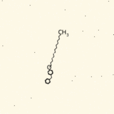 CCCCCCCCCCCCCCCCOc1ccc(Cc2ccccc2)cc1